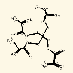 C=C(C)C(=O)OCC(COC(=O)NCC)(COC(=O)C(=C)C)COC(=O)C(=C)C